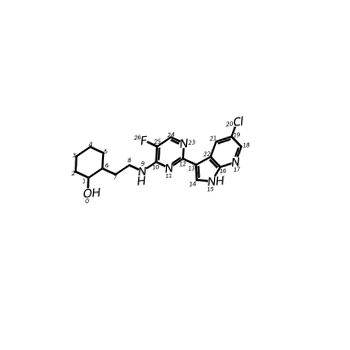 OC1CCCCC1CCNc1nc(-c2c[nH]c3ncc(Cl)cc23)ncc1F